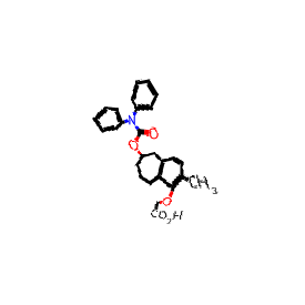 Cc1ccc2c(c1OCC(=O)O)CCCC(OC(=O)N(c1ccccc1)c1ccccc1)C2